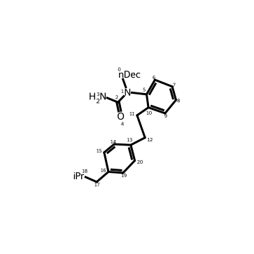 CCCCCCCCCCN(C(N)=O)c1ccccc1CCc1ccc(CC(C)C)cc1